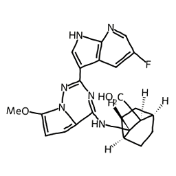 COc1ccc2c(N[C@H]3[C@H]4CC[C@H](CC4)[C@@H]3C(=O)O)nc(-c3c[nH]c4ncc(F)cc34)nn12